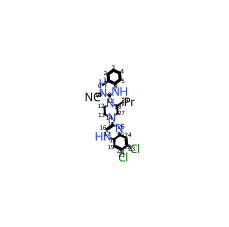 Cc1ccccc1NC(NC#N)N1CCN(C2=CNC3C=C(Cl)C(Cl)=CC3=N2)CC1C(C)C